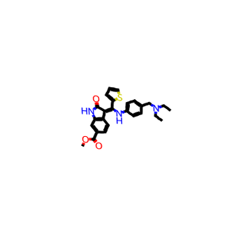 CCN(CC)Cc1ccc(NC(=C2C(=O)Nc3cc(C(=O)OC)ccc32)c2cccs2)cc1